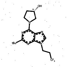 CC(C)(C)c1nc(N2CC[C@H](O)C2)c2ncn(CCC(F)(F)F)c2n1